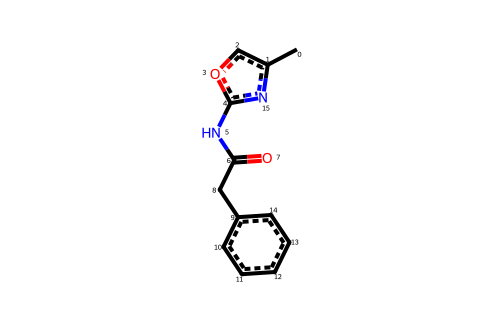 Cc1coc(NC(=O)Cc2ccccc2)n1